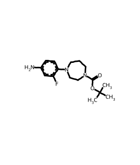 CC(C)(C)OC(=O)N1CCCN(c2ccc(N)cc2F)CC1